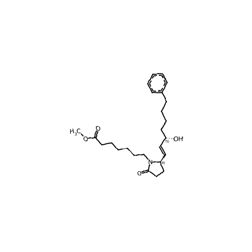 COC(=O)CCCCCCN1C(=O)CC[C@@H]1C=C[C@@H](O)CCCCc1ccccc1